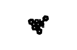 CC1(C)c2ccccc2-c2ccc3c4ccccc4n(-c4ccc(-c5ccccc5)cc4)c3c21